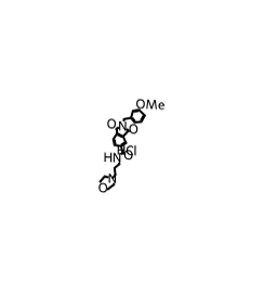 COc1cccc(CN2C(=O)c3ccc(C(=O)NCCCN4CCOCC4)cc3C2=O)c1.Cl